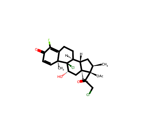 CC(=O)O[C@]1(C(=O)CCl)[C@H](C)C[C@H]2[C@@H]3CCC4=C(F)C(=O)C=C[C@]4(C)[C@@]3(Cl)[C@@H](O)C[C@@]21C